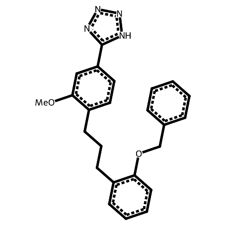 COc1cc(-c2nnn[nH]2)ccc1CCCc1ccccc1OCc1ccccc1